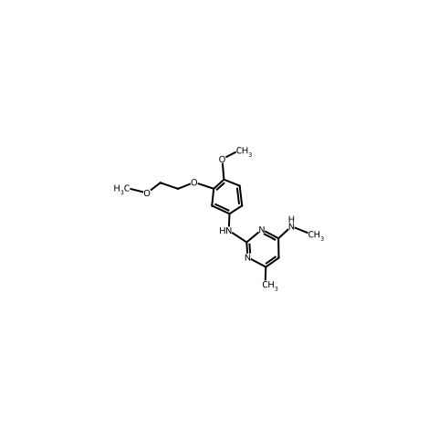 CNc1cc(C)nc(Nc2ccc(OC)c(OCCOC)c2)n1